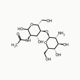 CC(=O)N[C@H]1C(O)O[C@H](CO)[C@@H](O[C@@H]2O[C@H](CO)[C@@H](O)[C@H](O)[C@H]2N)[C@@H]1O